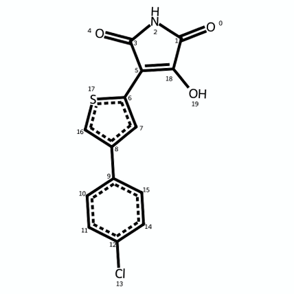 O=C1NC(=O)C(c2cc(-c3ccc(Cl)cc3)cs2)=C1O